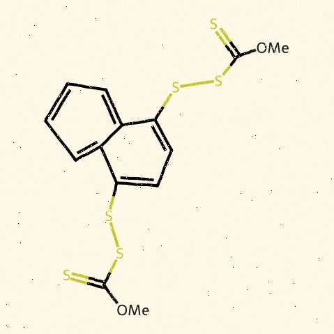 COC(=S)SSc1ccc(SSC(=S)OC)c2ccccc12